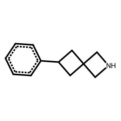 c1ccc(C2CC3(CNC3)C2)cc1